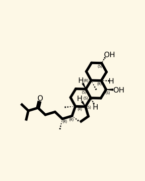 CC(C)C(=O)CC[C@@H](C)[C@H]1CC[C@H]2[C@@H]3C[C@H](O)[C@@H]4C[C@@H](O)CC[C@]4(C)[C@H]3CC[C@]12C